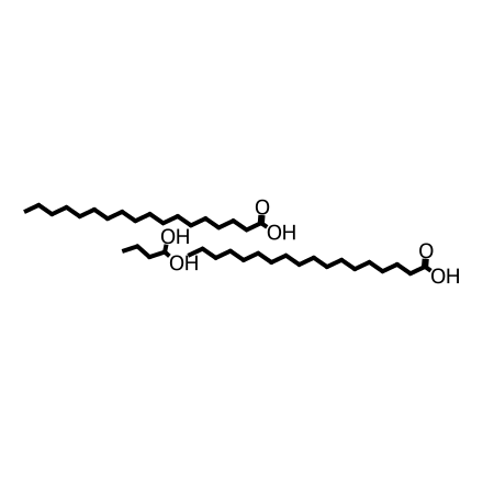 CCCC(O)O.CCCCCCCCCCCCCCCCCC(=O)O.CCCCCCCCCCCCCCCCCC(=O)O